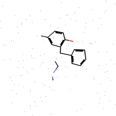 CCCc1ccc(O)c([C@@H](CCNC(C)C)c2ccccc2)c1